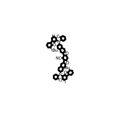 Cc1ccccc1N(c1ccc2cc3c(cc2c1)oc1cc2oc4cc5cc(N(c6ccccc6C)c6cccc7c6oc6c(C(C)(C)C)cccc67)ccc5cc4c2c(C#N)c13)c1cccc2c1oc1c(C(C)(C)C)cccc12